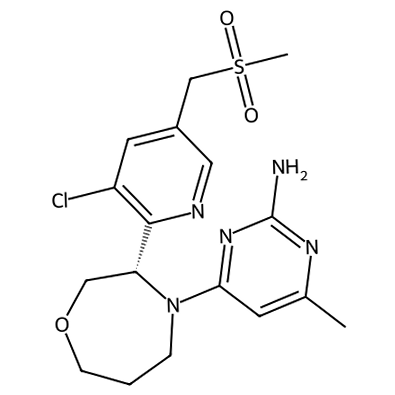 Cc1cc(N2CCCOC[C@@H]2c2ncc(CS(C)(=O)=O)cc2Cl)nc(N)n1